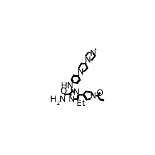 C=CC(=O)N1CC=C(c2nc(Nc3ccc(N4CCC(N5CCN(C)CC5)CC4)cc3)c(C(N)=O)nc2CC)CC1